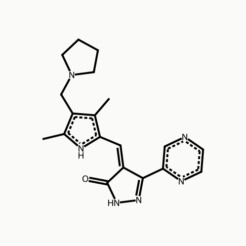 Cc1[nH]c(C=C2C(=O)NN=C2c2cnccn2)c(C)c1CN1CCCC1